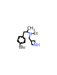 CCN(CC1CNC1)C(C)Cc1ccc(C(C)(C)C)cc1